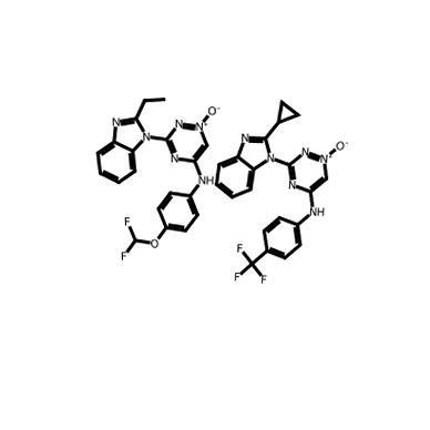 CCc1nc2ccccc2n1-c1nc(Nc2ccc(OC(F)F)cc2)c[n+]([O-])n1.[O-][n+]1cc(Nc2ccc(C(F)(F)F)cc2)nc(-n2c(C3CC3)nc3ccccc32)n1